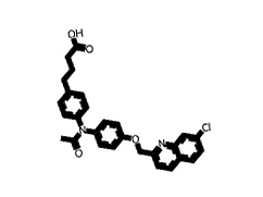 CC(=O)N(c1ccc(CCCC(=O)O)cc1)c1ccc(OCc2ccc3ccc(Cl)cc3n2)cc1